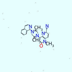 C[C@@H]1CN(c2cc(=O)n(C)c3ccc(C#N)nc23)[C@@H](C)CN1c1nccc2ccccc12